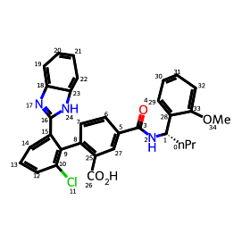 CCC[C@H](NC(=O)c1ccc(-c2c(Cl)cccc2-c2nc3ccccc3[nH]2)c(C(=O)O)c1)c1ccccc1OC